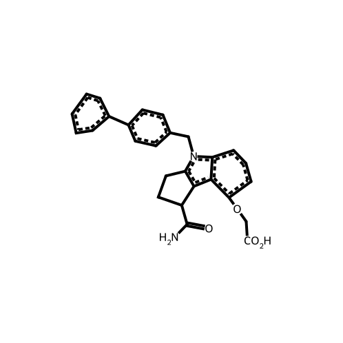 NC(=O)C1CCc2c1c1c(OCC(=O)O)cccc1n2Cc1ccc(-c2ccccc2)cc1